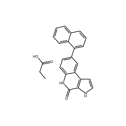 CCC(=O)O.O=c1[nH]c2ccc(-c3cccc4ccccc34)cc2c2cc[nH]c12